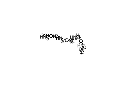 Cc1cc(-c2ncnc3[nH]c(-c4c(C)nn(C5CCN(C(=O)CNCC6CCN(c7ccc(N8CCC(=O)NC8=O)cc7)CC6)CC5)c4C)cc23)ccc1C(C)NC(=O)c1nc(C(C)(C)C)no1